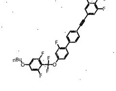 CCCCOc1cc(F)c(C(F)(F)Oc2ccc(-c3ccc(C#Cc4cc(F)c(C(F)(F)F)c(F)c4)cc3)c(F)c2)c(F)c1